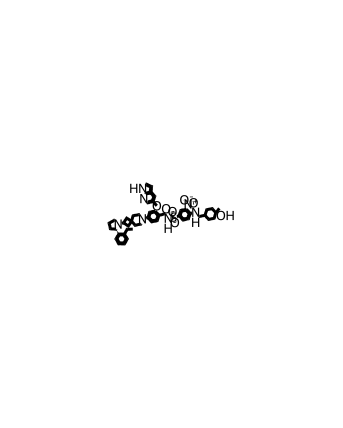 CCc1ccccc1[C@@H]1CCCN1C1CC2(CCN(c3ccc(C(=O)NS(=O)(=O)c4ccc(NCC5CCC(C)(O)CC5)c([N+](=O)[O-])c4)c(Oc4cnc5[nH]ccc5c4)c3)CC2)C1